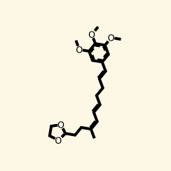 COc1cc(C=CCCC=CC=C(C)CCC2OCCO2)cc(OC)c1OC